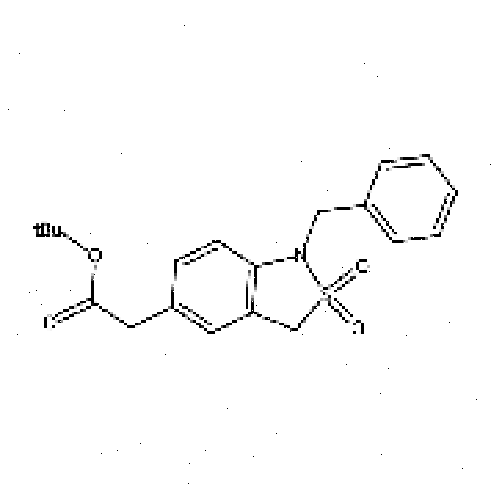 CC(C)(C)OC(=O)Cc1ccc2c(c1)CS(=O)(=O)N2Cc1ccccc1